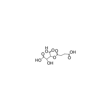 O=C(O)CCC(=O)OC(C(=O)O)C(O)C(=O)O